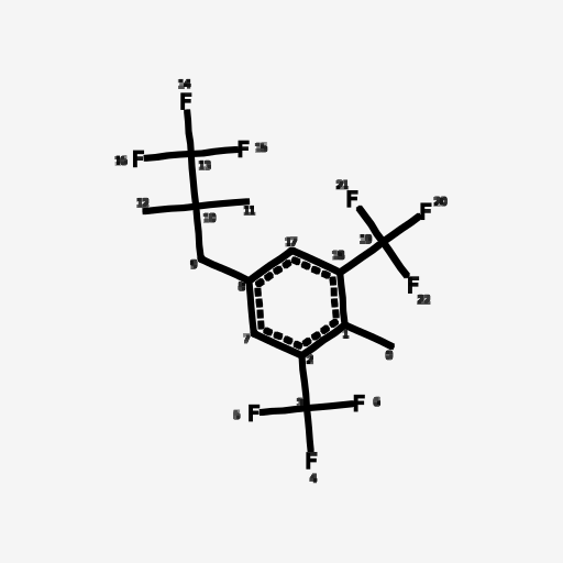 Cc1c(C(F)(F)F)cc(CC(C)(C)C(F)(F)F)cc1C(F)(F)F